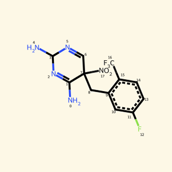 NC1=NC(N)N=CC1(Cc1cc(F)ccc1C(F)(F)F)[N+](=O)[O-]